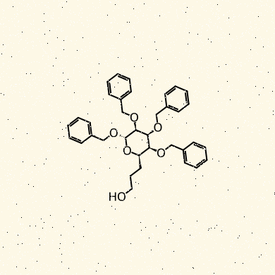 OCCC[C@H]1O[C@H](OCc2ccccc2)[C@@H](OCc2ccccc2)[C@@H](OCc2ccccc2)[C@H]1OCc1ccccc1